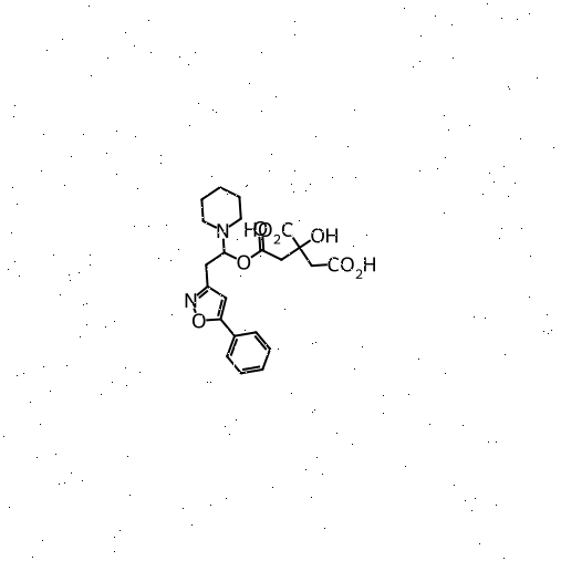 O=C(O)CC(O)(CC(=O)OC(Cc1cc(-c2ccccc2)on1)N1CCCCC1)C(=O)O